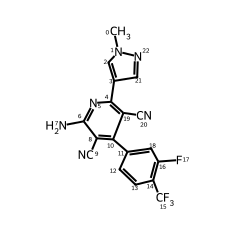 Cn1cc(-c2nc(N)c(C#N)c(-c3ccc(C(F)(F)F)c(F)c3)c2C#N)cn1